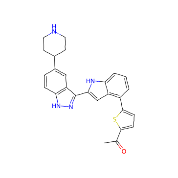 CC(=O)c1ccc(-c2cccc3[nH]c(-c4n[nH]c5ccc(C6CCNCC6)cc45)cc23)s1